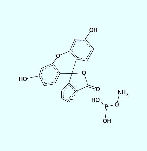 NOP(O)O.O=C1OC2(c3ccc(O)cc3Oc3cc(O)ccc32)c2ccccc21